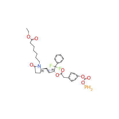 CCOC(=O)CCCCCCN1C(=O)CC[C@@H]1/C=C/[C@@H](OC(=O)Cc1ccc(OC(=O)OP)cc1)C(F)(F)c1ccccc1